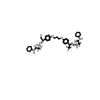 O=C(NC1CCCCC1)C(F)(F)S(=O)(=O)O/N=C(\CF)c1ccc(OCCCOc2ccc(/C(=N/OS(=O)(=O)C(F)(F)C(=O)NC3CCCCC3)C(F)(F)F)cc2)cc1